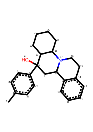 Cc1ccc(C2(O)CC3c4ccccc4CCN3C3CCCCC32)cc1